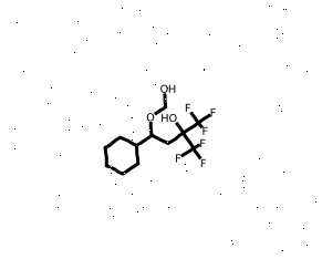 OCOC(CC(O)(C(F)(F)F)C(F)(F)F)C1CCCCC1